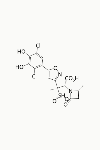 C[C@@H]1CC(=O)N1[C@@H](C(=O)O)[C@](C)(c1cc(-c2cc(Cl)c(O)c(O)c2Cl)on1)[SH](=O)=O